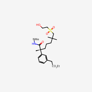 CCOC(=O)Cc1cccc([C@@](C)(CCCC(C)(C)CS(=O)(=O)CCO)C(=O)NNC)c1